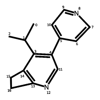 CC(C)c1c(-c2ccncc2)cnc2c1CC2